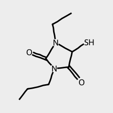 CCCN1C(=O)C(S)N(CC)C1=O